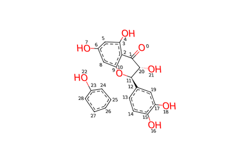 O=C1c2c(O)cc(O)cc2O[C@H](c2ccc(O)c(O)c2)[C@H]1O.Oc1ccccc1